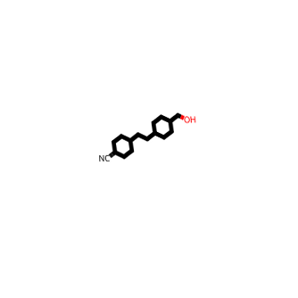 N#CC1CCC([CH]CC2CCC(CO)CC2)CC1